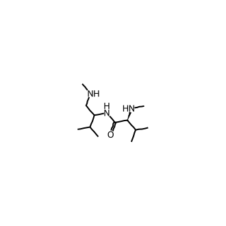 CNCC(NC(=O)[C@@H](NC)C(C)C)C(C)C